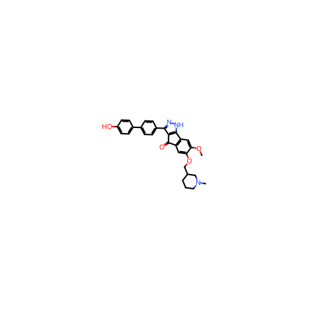 COc1cc2c(cc1OCC1CCCN(C)C1)C(=O)c1c(-c3ccc(-c4ccc(O)cc4)cc3)n[nH]c1-2